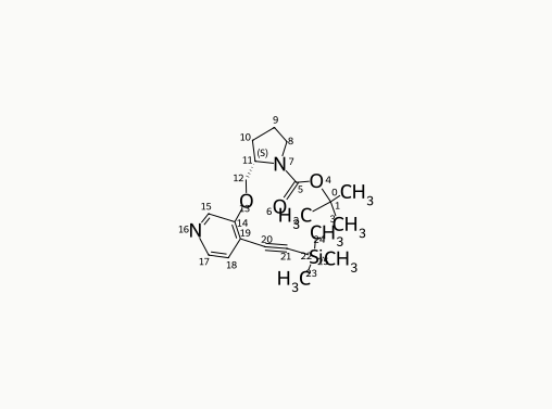 CC(C)(C)OC(=O)N1CCC[C@H]1COc1cnccc1C#C[Si](C)(C)C